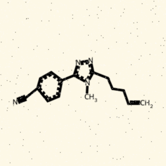 C=CCCCc1nnc(-c2ccc(C#N)cc2)n1C